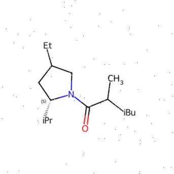 CCC1C[C@@H](C(C)C)N(C(=O)C(C)C(C)CC)C1